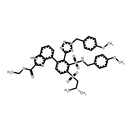 CCOC(=O)c1nc2c(-c3ccc(S(=O)(=O)C[C@H](C)N)c(S(=O)(=O)NCc4ccc(OC)cc4)c3-c3nnn(Cc4ccc(OC)cc4)n3)cccc2[nH]1